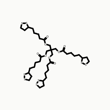 O=C(CCCCC1CCSS1)OCC(COC(=O)CCCCC1CCSS1)(COC(=O)CCCCC1CCSS1)COC(=O)CCCCC1CCSS1